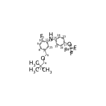 CC(C)(C)COCc1ccc(F)c(Nc2ccc(OC(F)(F)F)cc2)c1